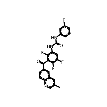 Cc1cnc2ccc(C(=O)c3c(F)c(F)cc(NC(=O)Nc4cccc(F)c4)c3F)cc2c1